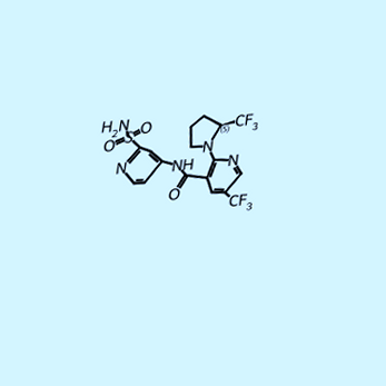 NS(=O)(=O)c1cc(NC(=O)c2cc(C(F)(F)F)cnc2N2CCC[C@H]2C(F)(F)F)ccn1